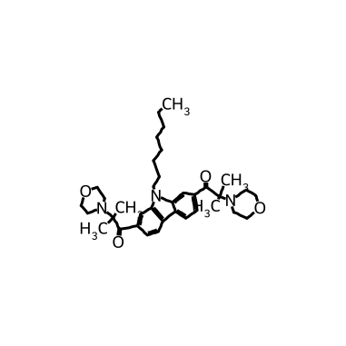 CCCCCCCCn1c2cc(C(=O)C(C)(C)N3CCOCC3)ccc2c2ccc(C(=O)C(C)(C)N3CCOCC3)cc21